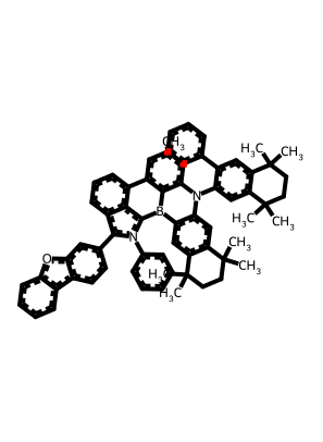 Cc1cc2c3c(c1)N(c1cc4c(cc1-c1ccccc1)C(C)(C)CCC4(C)C)c1cc4c(cc1B3c1c3c-2cccc3c(-c2ccc3c(c2)oc2ccccc23)n1-c1ccccc1)C(C)(C)CCC4(C)C